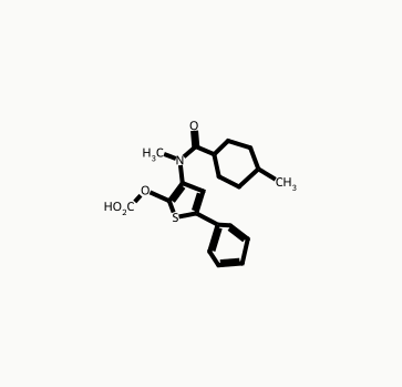 CC1CCC(C(=O)N(C)c2cc(-c3ccccc3)sc2OC(=O)O)CC1